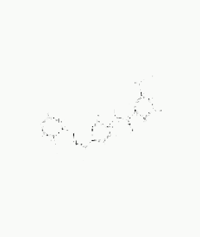 CC/C(=N/Oc1ncccc1Cl)c1ccc(NC(=O)c2cncc(CF)c2)nc1